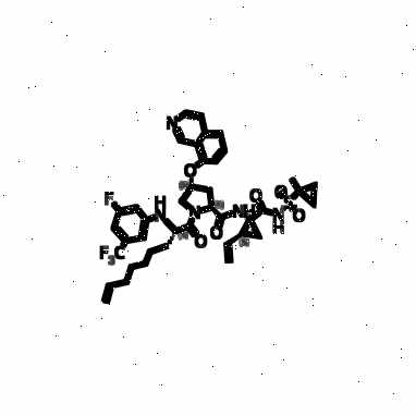 C=CCCCCC[C@H](Nc1cc(F)cc(C(F)(F)F)c1)C(=O)N1C[C@H](Oc2cccc3ccncc23)C[C@H]1C(=O)N[C@]1(C(=O)NS(=O)(=O)C2(C)CC2)C[C@H]1C=C